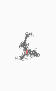 C[C@]12C=CC(=O)C=C1[C@@H](F)CC1C3C[C@@H](O)[C@](OC(=O)CCCON(O)O)(C(=O)COC(=O)CC(NC(=O)CCCCCON(O)O)C(=O)O)[C@@]3(C)C[C@H](O)[C@@]12F